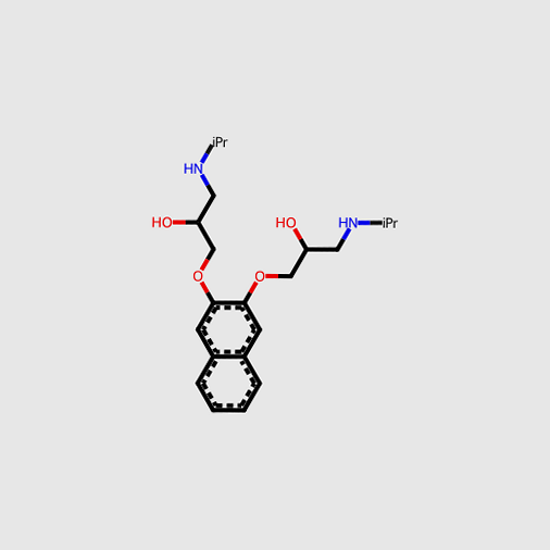 CC(C)NCC(O)COc1cc2ccccc2cc1OCC(O)CNC(C)C